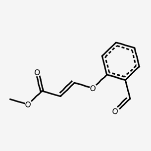 COC(=O)C=COc1ccccc1C=O